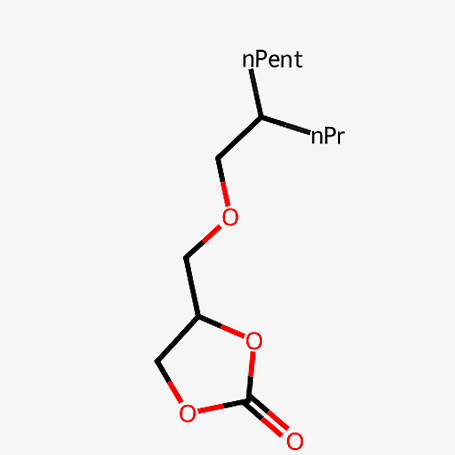 CCCCCC(CCC)COCC1COC(=O)O1